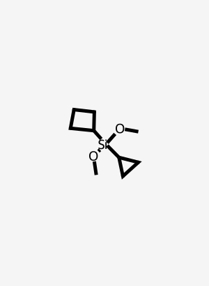 CO[Si](OC)(C1CCC1)C1CC1